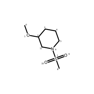 COC1CCCN(S(C)(=O)=O)C1